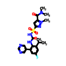 CC(C)c1cc(F)cc(-c2cncnc2)c1NC(=O)NS(=O)(=O)c1cc(C(=O)N(C)C)n(C)n1